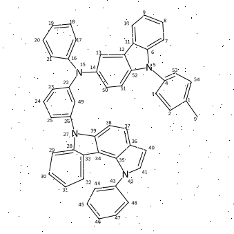 Cc1ccc(-n2c3ccccc3c3cc(N(c4ccccc4)c4cccc(-n5c6ccccc6c6c7c(ccc65)ccn7-c5ccccc5)c4)ccc32)cc1